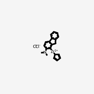 CN(C)c1ccc2c([c]1[Zr+2][CH]1C=CC=C1)Cc1ccccc1-2.[Cl-].[Cl-]